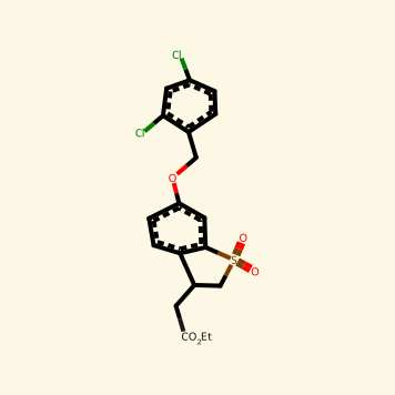 CCOC(=O)CC1CS(=O)(=O)c2cc(OCc3ccc(Cl)cc3Cl)ccc21